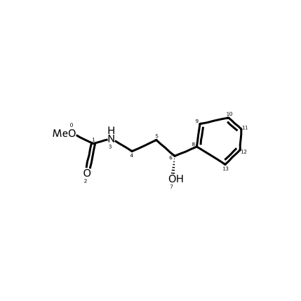 COC(=O)NCC[C@@H](O)c1ccccc1